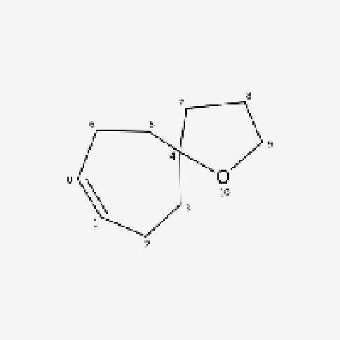 C1=CCCC2(CC1)CCCO2